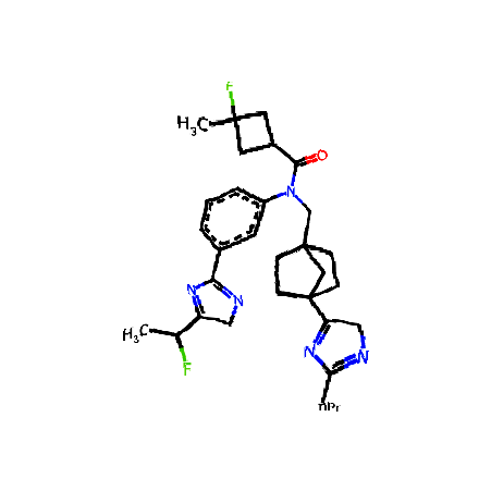 CCCC1=NCC(C23CCC(CN(C(=O)C4CC(C)(F)C4)c4cccc(C5=NCC(C(C)F)=N5)c4)(CC2)C3)=N1